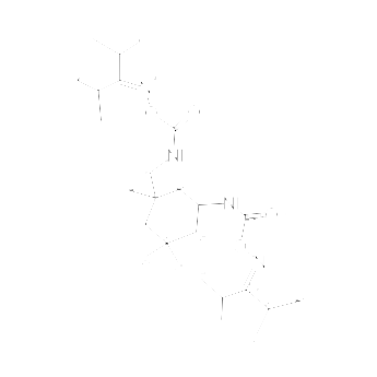 CC(C)C(=NOC(=O)NCC1(C)CC(NC(=O)ON=C(C(C)C)C(C)C)CC(C)(C)C1)C(C)C